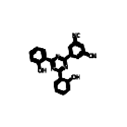 [C-]#[N+]c1cc(C#N)cc(-c2nc(-c3ccccc3O)nc(-c3ccccc3O)n2)c1